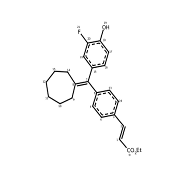 CCOC(=O)C=Cc1ccc(C(=C2CCCCCC2)c2ccc(O)c(F)c2)cc1